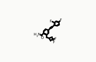 NC(=O)c1ccc(C#Cc2ccc(F)cc2F)cc1CC1CC(F)(F)C1